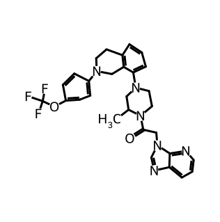 CC1CN(c2cccc3c2CN(c2ccc(OC(F)(F)F)cc2)CC3)CCN1C(=O)Cn1cnc2cccnc21